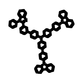 c1ccc(-n2c(-c3cccc(-c4ccc(N(c5ccc(-c6ccc(-n7c8ccccc8c8ccccc87)cc6)cc5)c5ccc(-c6ccc(-n7c8ccccc8c8ccccc87)cc6)cc5)cc4)c3)nc3ccccc32)cc1